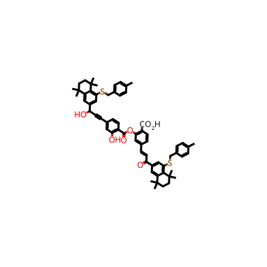 Cc1ccc(CSc2cc(C(=O)C=Cc3ccc(C(=O)O)c(OC(=O)c4ccc(C#CC(O)c5cc(SCc6ccc(C)cc6)c6c(c5)C(C)(C)CCC6(C)C)cc4O)c3)cc3c2C(C)(C)CCC3(C)C)cc1